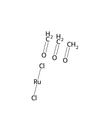 C=O.C=O.C=O.[Cl][Ru][Cl]